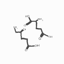 NC(CCC(=O)O)C(=O)O.NCC(=O)CCC(=O)O